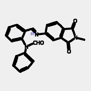 CN1C(=O)c2ccc(/N=C/c3ccccc3N(C=O)c3ccccc3)cc2C1=O